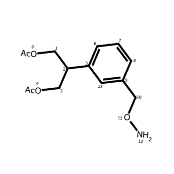 CC(=O)OCC(COC(C)=O)c1cccc(CON)c1